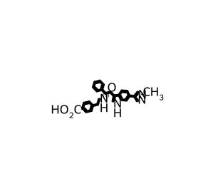 Cn1cc(-c2ccc3c(C(=O)[C@@H](NCCc4ccc(C(=O)O)cc4)c4ccccc4)c[nH]c3c2)cn1